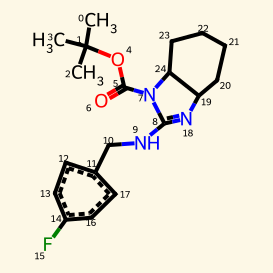 CC(C)(C)OC(=O)N1C(NCc2ccc(F)cc2)=NC2CCCCC21